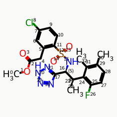 COC(=O)Cc1cc(Cl)ccc1S(=O)(=O)N[C@H](c1nn[nH]n1)[C@H](C)c1c(F)ccc(C)c1C